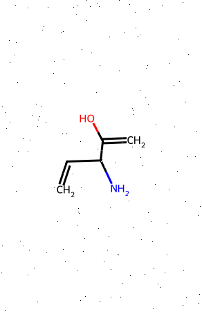 C=CC(N)C(=C)O